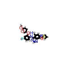 CO[C@@H]1CC[C@@H](Oc2cc(F)ccc2Nc2ncnc3cc(N=S4(=O)CCC4)cc(C)c23)CO1